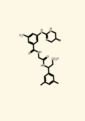 Cc1cc(C)cc(C(CC(=O)O)NC(=O)CNC(=O)c2cc(NC3=NCC(F)CN3)cc([N+](=O)[O-])c2)c1